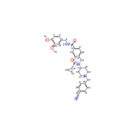 COc1ccc(CNC(=O)c2ccc(CN(C(=O)C3CC3)C3CCN(Cc4ccc(C#N)cc4)CC3)cc2)cc1OC